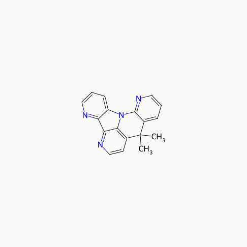 CC1(C)c2cccnc2-n2c3cccnc3c3nccc1c32